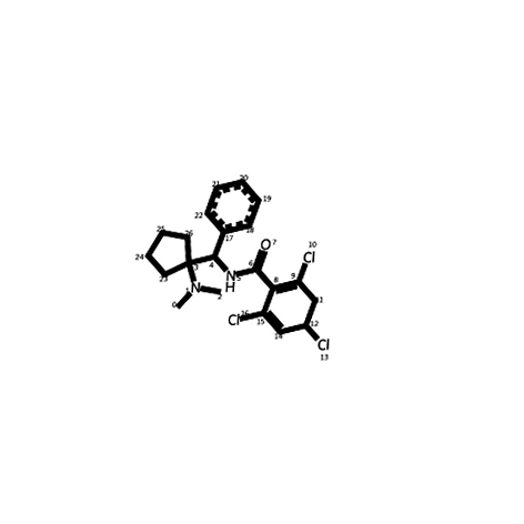 CN(C)C1(C(NC(=O)C2=C(Cl)CC(Cl)C=C2Cl)c2ccccc2)CCCC1